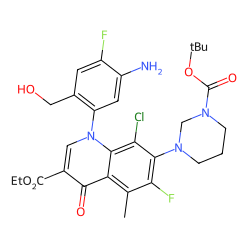 CCOC(=O)c1cn(-c2cc(N)c(F)cc2CO)c2c(Cl)c(N3CCCN(C(=O)OC(C)(C)C)C3)c(F)c(C)c2c1=O